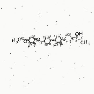 CCCC(O)C1CCC(c2ccc(-c3ccc(COc4ccc(OCC)c(F)c4F)cc3)c(F)c2F)CC1